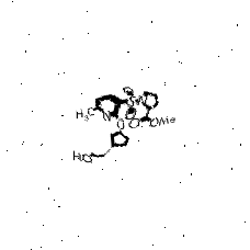 COC(=O)[C@@H]1CCCN1S(=O)(=O)c1ccc(C)nc1O[C@@H]1CC[C@H](CCO)C1